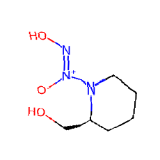 [O-][N+](=NO)N1CCCC[C@H]1CO